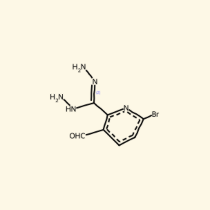 N/N=C(\NN)c1nc(Br)ccc1C=O